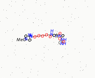 CON1Cc2ccccc2-c2c(nnn2CCOCCOCCOCCOCCC(=O)Nc2ccc3sc(C(=O)Nc4ccccc4C(=O)NC4CCCCNC4=O)cc3c2)-c2ccccc21